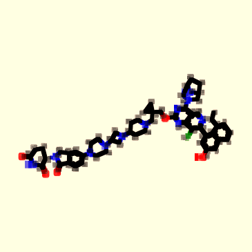 CCc1cccc2cc(O)cc(-c3ncc4c(N5CC6CCC(C5)N6)nc(OCC5(CN6CCC(N7CC(N8CCN(c9ccc%10c(c9)CN([C@H]9CCC(=O)NC9=O)C%10=O)CC8)C7)CC6)CC5)nc4c3F)c12